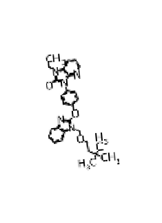 CCn1c(=O)n(-c2ccc(Oc3nc4ccccc4n3COCCC(C)(C)C)cc2)c2ncccc21